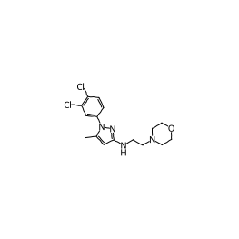 Cc1cc(NCCN2CCOCC2)nn1-c1ccc(Cl)c(Cl)c1